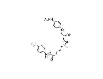 CC(=O)Nc1ccc(OCC(O)CNC(C)CCCCC(=O)ONc2ccc(C(F)(F)F)cc2)cc1